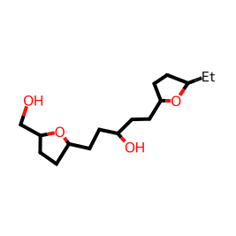 CCC1CCC(CCC(O)CCC2CCC(CO)O2)O1